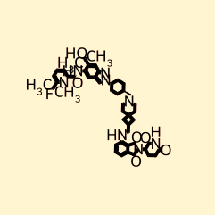 CC(C)(O)c1cc2nn([C@H]3CC[C@H](CN4CCC5(CC4)CC(CNc4cccc6c4C(=O)N(C4CCC(=O)NC4=O)C6=O)C5)CC3)cc2cc1NC(=O)c1cccc(C(C)(C)F)n1